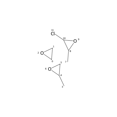 C1CO1.CC1CO1.CC1OC1Cl